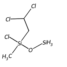 C[Si](Cl)(CC(Cl)Cl)O[SiH3]